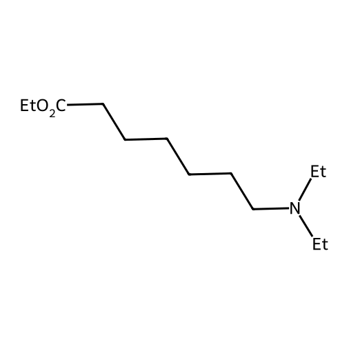 CCOC(=O)CCCCCCN(CC)CC